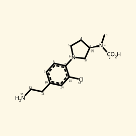 CN(C(=O)O)[C@@H]1CCN(c2ccc(CCN)cc2Cl)C1